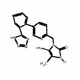 CCCCc1c(C)n(CC)c(=O)n1Cc1ccc(-c2ccccc2-c2nnn[nH]2)cn1